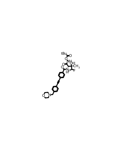 CC(C)(C)C(=O)ONC(=O)[C@@H](NC(=O)c1ccc(C#Cc2ccc(CN3CCOCC3)cc2)cc1)[C@](C)(O)C(F)F